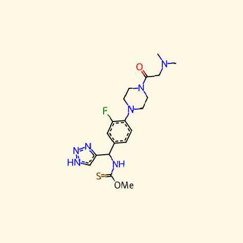 COC(=S)NC(c1ccc(N2CCN(C(=O)CN(C)C)CC2)c(F)c1)c1c[nH]nn1